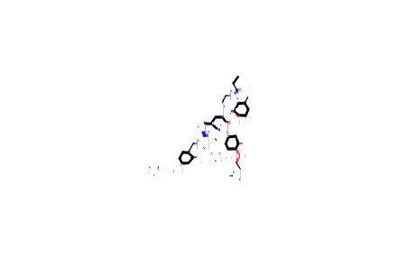 C=CC(=O)N1CCN(c2cc3cnc(NCc4ccc(OC)cc4OC)nc3n(-c3ccc(OCCN(C)C)c(F)c3)c2=O)c2cccc(C)c21